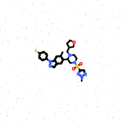 Cc1cc2c(cnn2-c2ccc(F)cc2)cc1C1CN(S(=O)(=O)c2cnn(C)n2)CCN1CC1CCOC1